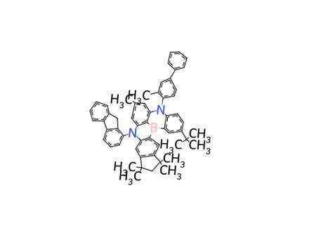 Cc1cc2c3c(c1)N(c1cccc4c1Cc1ccccc1-4)c1cc4c(cc1B3c1cc(C(C)(C)C)ccc1N2c1ccc(-c2ccccc2)cc1C)C(C)(C)CC4(C)C